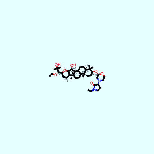 CCO[C@@H](C1C[C@@H](C)[C@H]2C(O1)[C@H](O)[C@@]1(C)C3CC[C@H]4C(C)(C)[C@@H](O[C@H]5CN(C6CCN(CC)C6=O)CCO5)CC[C@@]45C[C@@]35CC[C@]21C)C(C)(C)O